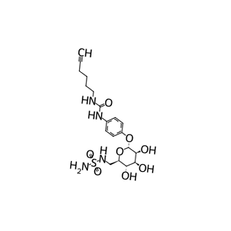 C#CCCCCNC(=O)Nc1ccc(O[C@H]2O[C@H](CNS(N)(=O)=O)[C@@H](O)[C@H](O)[C@@H]2O)cc1